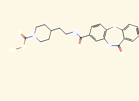 CC(C)(C)OC(=O)N1CCC(CCNC(=O)c2ccc3c(c2)NC(=O)c2ccccc2S3)CC1